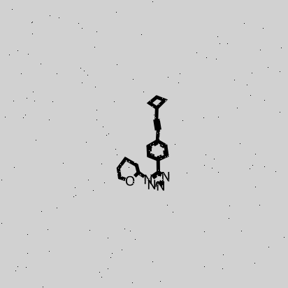 C(#CC1CCC1)c1ccc(-c2nnnn2C2CCCCO2)cc1